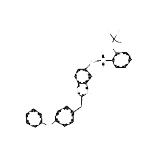 O=S(=O)(Nc1ccc2[nH]c(Cc3ccc(Oc4ccccc4)cc3)nc2c1)c1ccccc1OC(F)(F)F